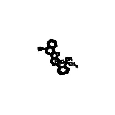 CC(C)(O)c1ccccc1-c1ccc2c(c1)oc1c3ccccc3c(Br)cc21